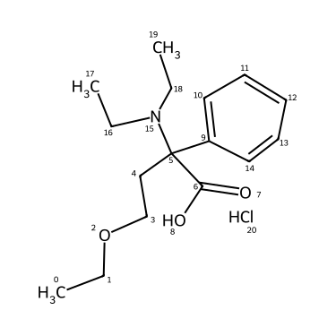 CCOCCC(C(=O)O)(c1ccccc1)N(CC)CC.Cl